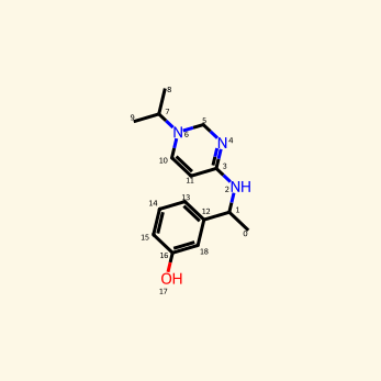 CC(NC1=NCN(C(C)C)C=C1)c1cccc(O)c1